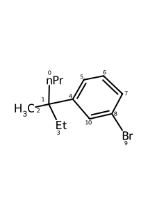 CCCC(C)(CC)c1cccc(Br)c1